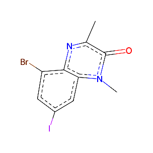 Cc1nc2c(Br)cc(I)cc2n(C)c1=O